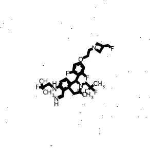 CC1Cc2c(ccc(NCC(C)(C)F)c2C=N)C(c2c(F)cc(OCCN3CC(CF)C3)cc2F)N1CC(C)(C)F